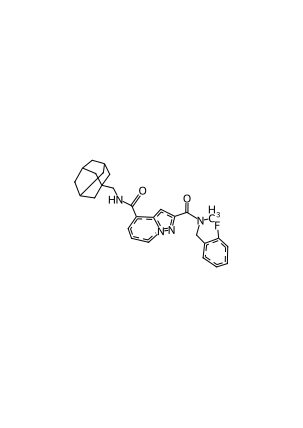 CN(Cc1ccccc1F)C(=O)c1cc2c(C(=O)NCC34CC5CC(CC(C5)C3)C4)cccn2n1